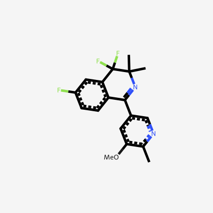 COc1cc(C2=NC(C)(C)C(F)(F)c3cc(F)ccc32)cnc1C